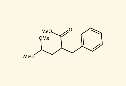 COC(=O)C(Cc1ccccc1)CC(OC)OC